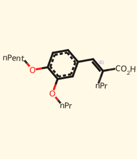 CCCCCOc1ccc(/C=C(\CCC)C(=O)O)cc1OCCC